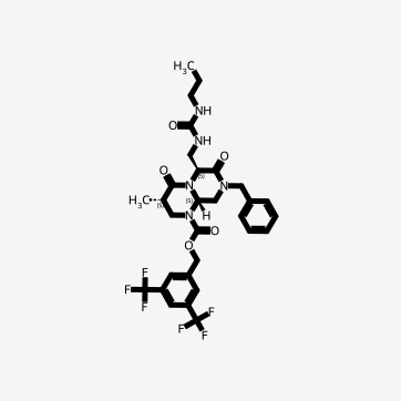 CCCNC(=O)NC[C@H]1C(=O)N(Cc2ccccc2)C[C@@H]2N(C(=O)OCc3cc(C(F)(F)F)cc(C(F)(F)F)c3)C[C@H](C)C(=O)N21